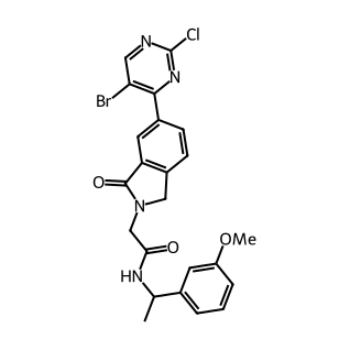 COc1cccc(C(C)NC(=O)CN2Cc3ccc(-c4nc(Cl)ncc4Br)cc3C2=O)c1